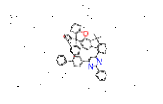 CC1(C)c2cccc(-c3cc(-c4ccc(-c5ccccc5)cc4)nc(-c4ccccc4)n3)c2-c2ccc3c(c21)Oc1ccccc1C31c2ccccc2-c2ccccc21